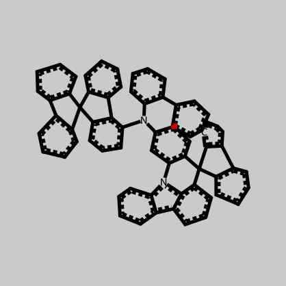 c1ccc(-c2ccccc2N(c2ccc3c(c2)-n2c4ccccc4c4cccc(c42)C32c3ccccc3-c3ccccc32)c2cccc3c2-c2ccccc2C32c3ccccc3-c3ccccc32)cc1